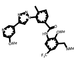 CNCc1cc(C(F)(F)F)cc(NC(=O)c2ccc(C)c(-n3cc(-c4cncc(OC)c4)nn3)c2)c1OC